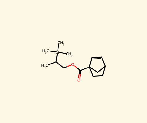 CC(COC(=O)C12C=CC(CC1)C2)[Si](C)(C)C